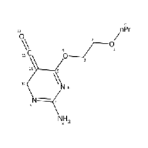 CCCOCCOC1=NC(N)=NCC1=C=O